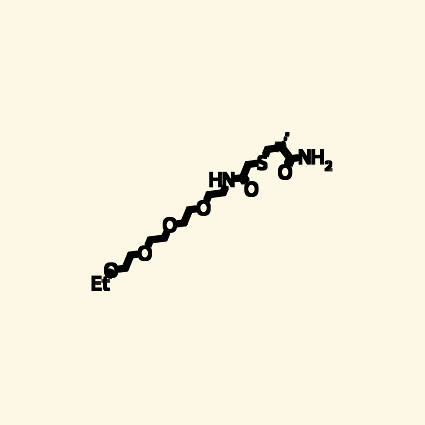 CCOCCOCCOCCOCCNC(=O)CSC[C@H](C)C(N)=O